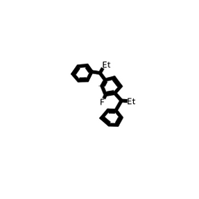 CCC(c1[c]c(F)c(C(CC)c2ccccc2)cc1)c1ccccc1